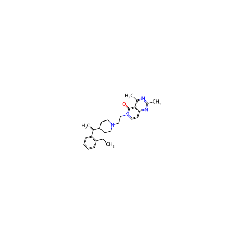 C=C(c1ccccc1CC)C1CCN(CCn2ccc3nc(C)nc(C)c3c2=O)CC1